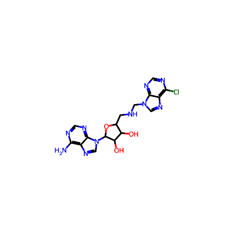 Nc1ncnc2c1ncn2C1OC(CNCn2cnc3c(Cl)ncnc32)C(O)C1O